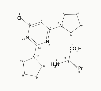 CC(C)[C@H](N)C(=O)O.Clc1cc(N2CCCC2)nc(N2CCCC2)n1